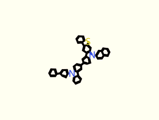 c1ccc(-c2ccc(-n3c4ccccc4c4cc(-c5ccc6c(c5)c5cc7c(cc5n6-c5ccc6ccccc6c5)sc5ccccc57)ccc43)cc2)cc1